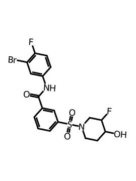 O=C(Nc1ccc(F)c(Br)c1)c1cccc(S(=O)(=O)N2CCC(O)C(F)C2)c1